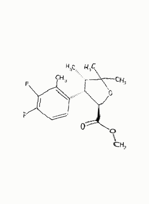 COC(=O)[C@@H]1OC(C)(C)[C@@H](C)[C@H]1c1ccc(F)c(F)c1C